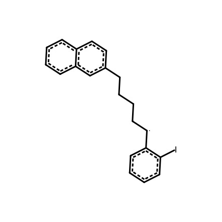 Ic1ccccc1[CH]CCCCc1ccc2ccccc2c1